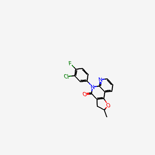 CC1Cc2c(c3cccnc3n(-c3ccc(F)c(Cl)c3)c2=O)O1